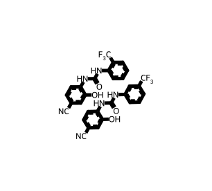 N#Cc1ccc(NC(=O)Nc2cccc(C(F)(F)F)c2)c(O)c1.N#Cc1ccc(NC(=O)Nc2ccccc2C(F)(F)F)c(O)c1